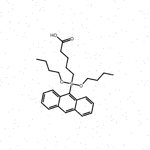 CCCCO[Si](CCCCC(=O)O)(OCCCC)c1c2ccccc2cc2ccccc12